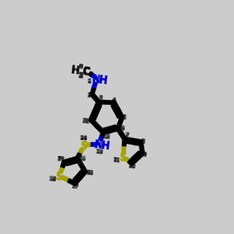 CNCc1ccc(-c2cccs2)c(NSc2ccsc2)c1